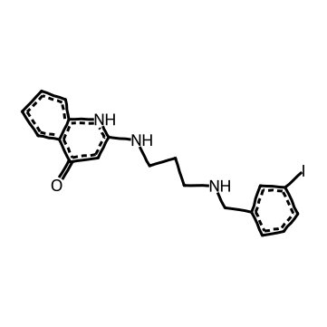 O=c1cc(NCCCNCc2cccc(I)c2)[nH]c2ccccc12